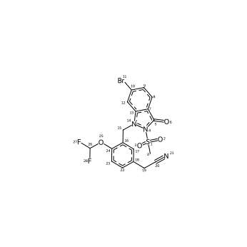 CS(=O)(=O)n1c(=O)c2ccc(Br)cc2n1Cc1cc(CC#N)ccc1OC(F)F